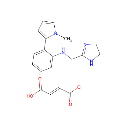 Cn1cccc1-c1ccccc1NCC1=NCCN1.O=C(O)C=CC(=O)O